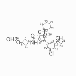 Cc1c(C(=O)N[C@H]2C[C@H](OC=O)C2)cc(-c2cc(Cl)cc(C3(C)CC3)c2)n1CC1CCCCC1